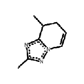 Cc1nc2n(n1)C=CCC2C